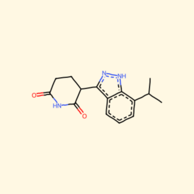 CC(C)c1cccc2c(C3CCC(=O)NC3=O)n[nH]c12